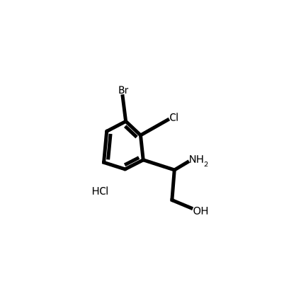 Cl.NC(CO)c1cccc(Br)c1Cl